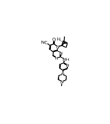 C[C@H]1C2CC1(n1c(=O)c(C#N)cc3cnc(Nc4ccc(N5CCN(C)CC5)cn4)nc31)C2